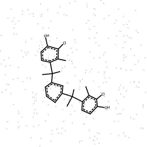 Cc1c(C(C)(C)c2cccc(C(C)(C)c3ccc(O)c(Cl)c3C)c2)ccc(O)c1Cl